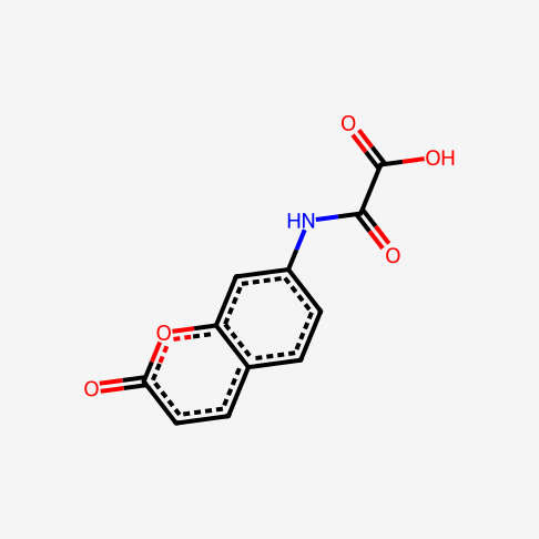 O=C(O)C(=O)Nc1ccc2ccc(=O)oc2c1